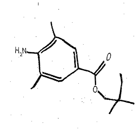 Cc1cc(C(=O)OC(C)(C)C)cc(C)c1N